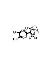 C=C(C)C(N)=O.C[N+](C)(C)C(C(=O)[O-])S(=O)(=O)O